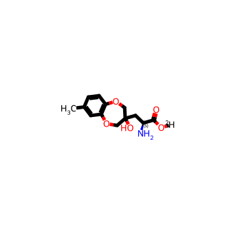 [2H]OC(=O)[C@@H](N)CC1(O)COc2ccc(C)cc2OC1